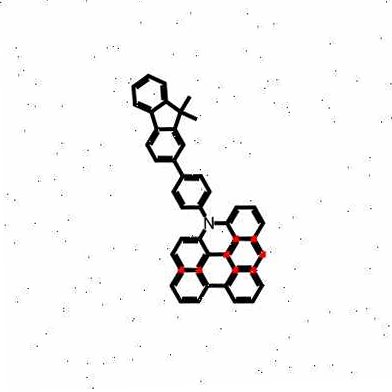 CC1(C)c2ccccc2-c2ccc(-c3ccc(N(c4ccccc4-c4cccc5cccc(-c6ccccc6)c45)c4cccc5ccccc45)cc3)cc21